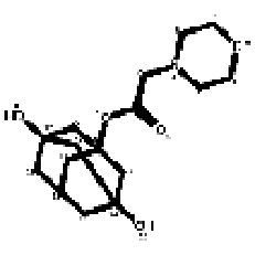 O=C(CN1CCOCC1)OC12CC3CC(O)(CC(O)(C3)C1)C2